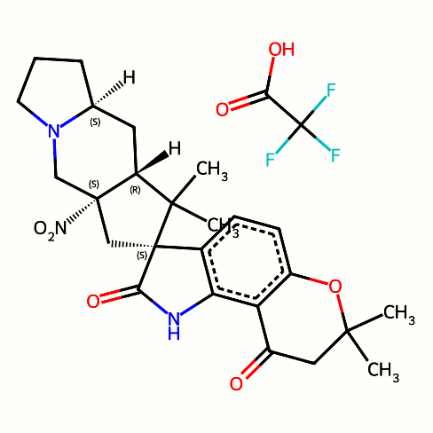 CC1(C)CC(=O)c2c(ccc3c2NC(=O)[C@]32C[C@@]3([N+](=O)[O-])CN4CCC[C@H]4C[C@@H]3C2(C)C)O1.O=C(O)C(F)(F)F